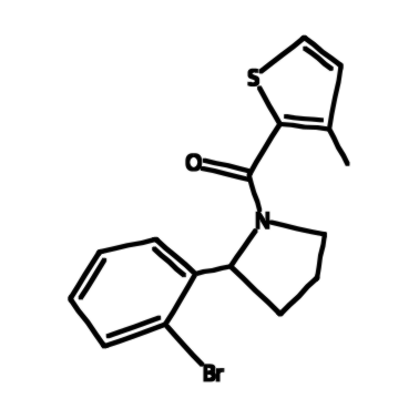 Cc1ccsc1C(=O)N1CCCC1c1ccccc1Br